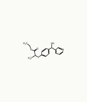 CCOC(=O)C(C)Sc1ccc(C(O)c2cccnc2)cc1